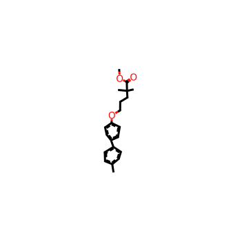 COC(=O)C(C)(C)CCCOc1ccc(-c2ccc(C)cc2)cc1